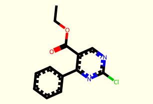 CCOC(=O)c1cnc(Cl)nc1-c1ccccc1